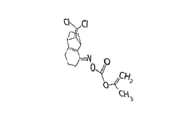 C=C(C)OC(=O)O/N=C1\CCCC2=C1C1CCC2C1=C(Cl)Cl